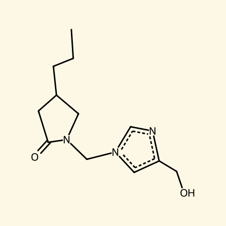 CCCC1CC(=O)N(Cn2cnc(CO)c2)C1